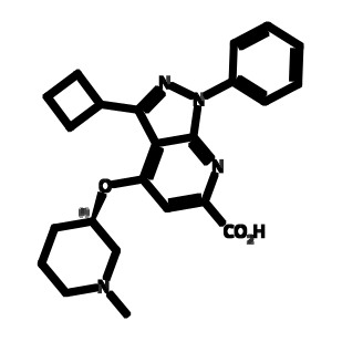 CN1CCC[C@@H](Oc2cc(C(=O)O)nc3c2c(C2CCC2)nn3-c2ccccc2)C1